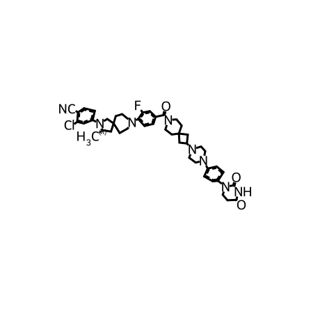 C[C@@H]1CC2(CCN(c3ccc(C(=O)N4CCC5(CC4)CC(N4CCN(c6ccc(N7CCC(=O)NC7=O)cc6)CC4)C5)cc3F)CC2)CN1c1ccc(C#N)c(Cl)c1